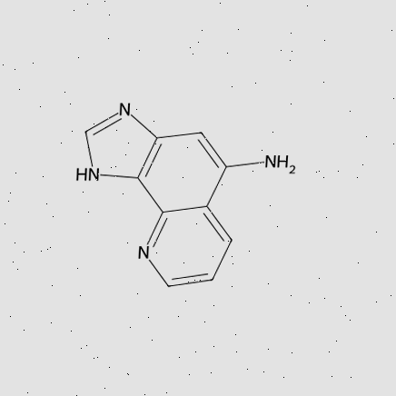 Nc1cc2nc[nH]c2c2ncccc12